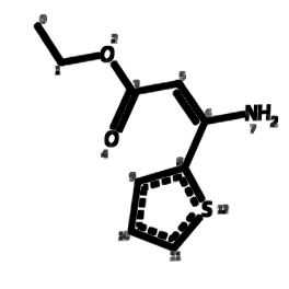 CCOC(=O)/C=C(/N)c1cccs1